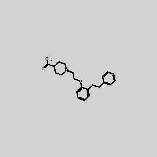 NC(=O)C1CCN(CCOc2ccccc2CCc2ccccc2)CC1